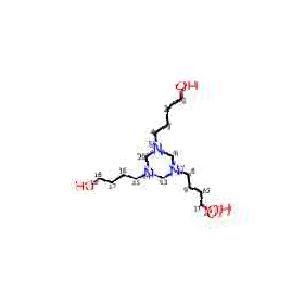 OCCCCN1CN(CCCCO)CN(CCCCO)C1